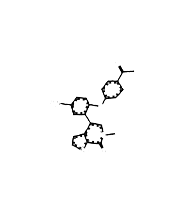 CC(=O)c1ccc(Oc2ccc(N)cc2-c2cn(C)c(=O)c3[nH]ccc23)cc1